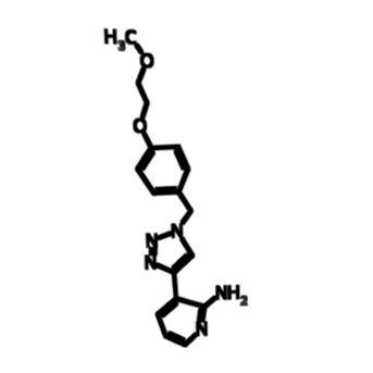 COCCOc1ccc(Cn2cc(-c3cccnc3N)nn2)cc1